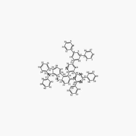 c1ccc(-c2cc(-c3ccccc3)cc(-c3cnc(-c4cccc5sc6c(ccc7c8ccccc8n(-c8ccccc8)c76)c45)c(-c4nc(-c5ccccc5)nc(-c5ccccc5)n4)c3)c2)cc1